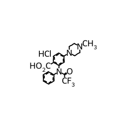 CN1CCN(c2ccc(C(=O)O)c(N(C(=O)C(F)(F)F)c3ccccc3)c2)CC1.Cl